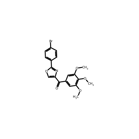 COc1cc(C(=O)c2coc(-c3ccc(Br)cc3)n2)cc(OC)c1OC